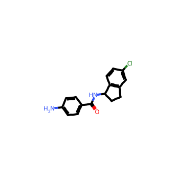 Nc1ccc(C(=O)NC2CCc3cc(Cl)ccc32)cc1